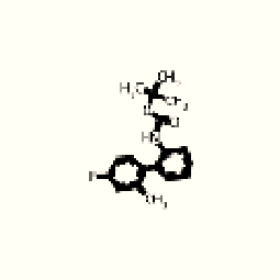 Cc1cc(F)ccc1-c1ccccc1NC(=O)OC(C)(C)C